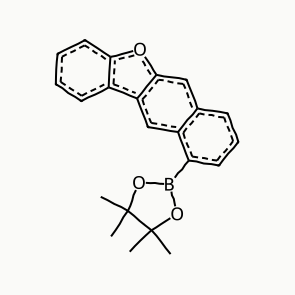 CC1(C)OB(c2cccc3cc4oc5ccccc5c4cc23)OC1(C)C